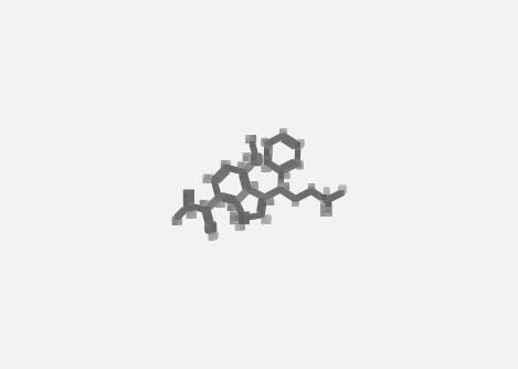 CNCCC(c1ccccc1)c1c[nH]c2c(C(=O)NC)ccc(OC)c12